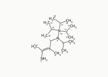 CC([SiH3])=C(C)CN(C(C)C)[Si](C(C)C)(C(C)C)C(C)C